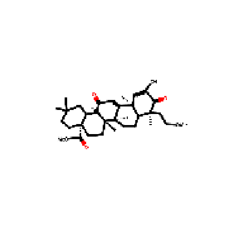 COCC[C@]1(C)C(=O)C(C#N)=C[C@]2(C)C3=CC(=O)[C@H]4C5CC(C)(C)CC[C@]5(C(=O)OC)CC[C@@]4(C)[C@]3(C)CCC21